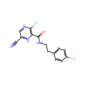 N#Cc1cnc(F)c(C(=O)NCCc2ccc(F)cc2)n1